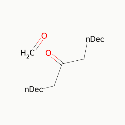 C=O.CCCCCCCCCCCC(=O)CCCCCCCCCCC